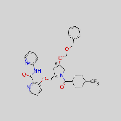 O=C(Nc1ccccn1)c1ncccc1OC[C@H]1C[C@@H](OCOCc2ccccc2)CN1C(=O)C1CCC(C(F)(F)F)CC1